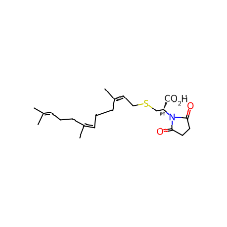 CC(C)=CCCC(C)=CCCC(C)=CCSC[C@@H](C(=O)O)N1C(=O)CCC1=O